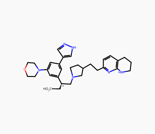 O=C(O)C[C@H](CN1CCC(CCc2ccc3c(n2)NCCC3)C1)c1cc(-c2cn[nH]c2)cc(N2CCOCC2)c1